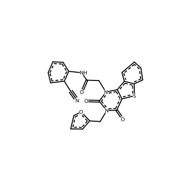 N#Cc1ccccc1NC(=O)Cn1c(=O)n(Cc2ccco2)c(=O)c2sc3ccccc3c21